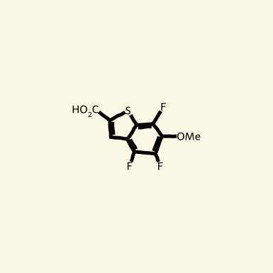 COc1c(F)c(F)c2cc(C(=O)O)sc2c1F